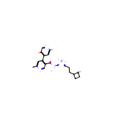 COc1cnc(Cl)cc1-c1cc(C)ncc1C(=O)Nc1nnc(CCC2CCC2(F)F)s1